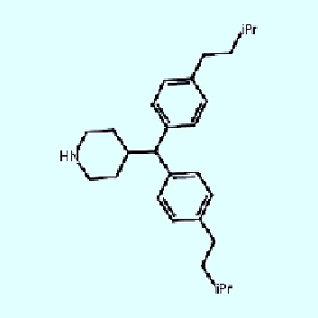 CC(C)CCc1ccc(C(c2ccc(CCC(C)C)cc2)C2CCNCC2)cc1